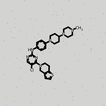 CN1CCN(C2CCN(c3ccc(Nc4ncc(Cl)c(N5CCc6sccc6C5)n4)cc3)CC2)CC1